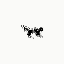 Cc1cnc2c(NC(=O)c3ncc(C)o3)cc(C(=O)NCC(O)(c3cc4c(c(-c5ccc(F)cc5)n3)OC[C@]4(C)C(N)=O)C(F)(F)F)cc2c1